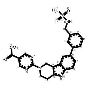 COC(=O)c1cnc(N2CCc3[nH]c4ccc(-c5cccc(CNS(C)(=O)=O)c5)cc4c3C2)nc1